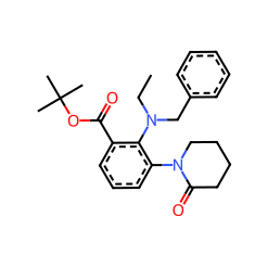 CCN(Cc1ccccc1)c1c(C(=O)OC(C)(C)C)cccc1N1CCCCC1=O